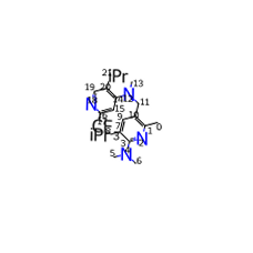 Cc1nc(N(C)C)c(C(C)C)cc1CN(C)c1cc(C(F)(F)F)ncc1C(C)C